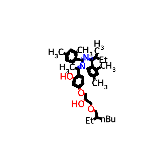 CCCCC(CC)COCC(O)COc1ccc(/C(C)=N/C(=N\C(=C(/C)CC)c2ccc(C)cc2C)c2ccc(C)cc2C)c(O)c1